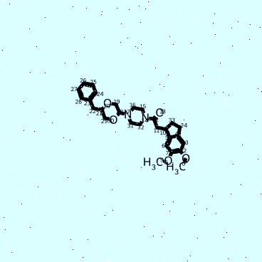 COc1cc2c(cc1OC)C(CC(=O)N1CCN(C3COC(Cc4ccccc4)CO3)CC1)CC2